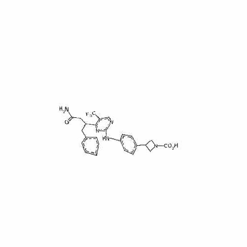 NC(=O)CC(Cc1ccccc1)c1nc(Nc2ccc(C3CN(C(=O)O)C3)cc2)ncc1C(F)(F)F